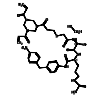 C=CC(=O)N1CN(C(=O)C=C)CN(C(=O)CCSCC(=O)N[C@H](C(=O)N[C@@H](CCCNC(N)=O)C(=O)Nc2ccc(Cc3ccc([N+](=O)[O-])cc3)cc2)C(C)C)C1.O=C(O)O